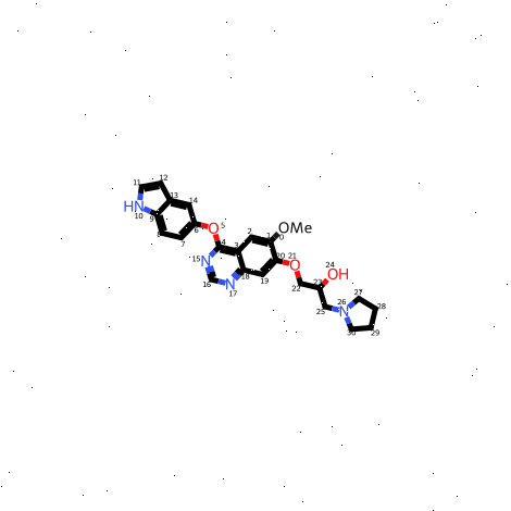 COc1cc2c(Oc3ccc4[nH]ccc4c3)ncnc2cc1OCC(O)CN1CCCC1